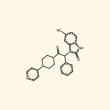 N#Cc1ccc2[nH]c(=O)n(C(C(=O)N3CCN(c4ccncc4)CC3)c3ccccc3)c2c1